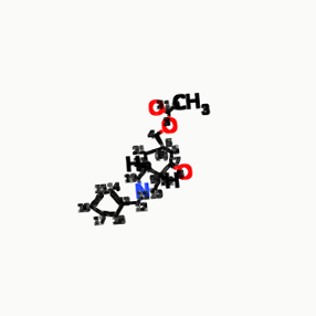 CC(=O)OC[C@H]1CC(=O)[C@@H]2CN(Cc3ccccc3)C[C@@H]2C1